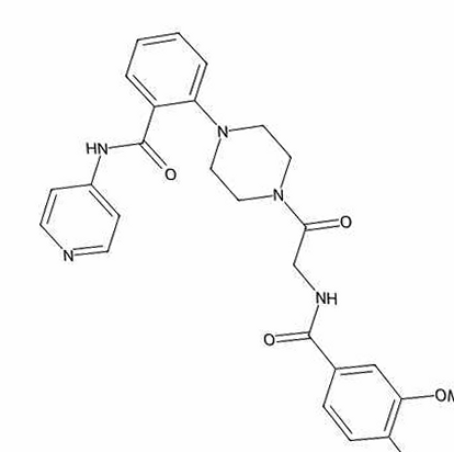 COc1ccc(C(=O)NCC(=O)N2CCN(c3ccccc3C(=O)Nc3ccncc3)CC2)cc1OC